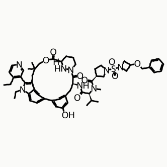 CCc1ccncc1-c1c2c3cc(ccc3n1CC)-c1cc(O)cc(c1)C[C@H](NC(=O)[C@H](C(C)C)N(C)C(=O)[C@H]1CCN(S(=O)(=O)N3CC(OCc4ccccc4)C3)C1)C(=O)N1CCC[C@H](N1)C(=O)OCC(C)(C)C2